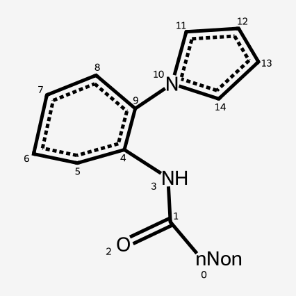 CCCCCCCCCC(=O)Nc1ccccc1-n1cccc1